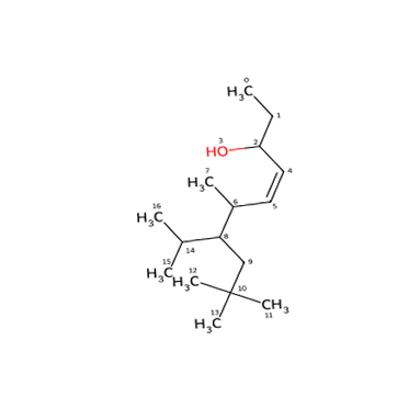 CCC(O)/C=C\C(C)C(CC(C)(C)C)C(C)C